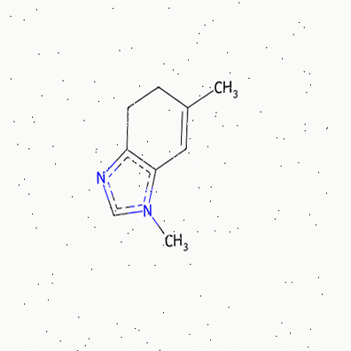 CC1=Cc2c(ncn2C)CC1